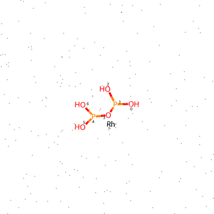 OP(O)OP(O)O.[Rh]